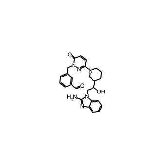 Nc1nc2ccccc2n1CC(O)C1CCCN(c2ccc(=O)n(Cc3cccc(C=O)c3)n2)C1